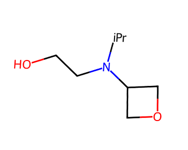 CC(C)N(CCO)C1COC1